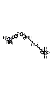 N=C/C(=C(\C(N)=O)C(F)(F)F)N1Cc2ccc(OC3CCN(CC(=O)NCCCCCCNC(=O)CCCC[C@@H]4SC[C@@H]5NC(=O)N[C@@H]54)CC3)cc2C1